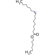 CCCCCC/C=C\CCCCCCCC(=O)OCCCCCC